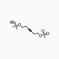 CC(C)(C)[Si](C)(C)OCCC#CCCOS(C)(=O)=O